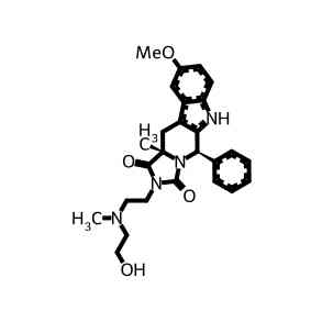 COc1ccc2[nH]c3c(c2c1)C[C@@]1(C)C(=O)N(CCN(C)CCO)C(=O)N1[C@@H]3c1ccccc1